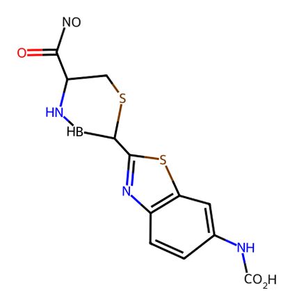 O=NC(=O)C1CSC(c2nc3ccc(NC(=O)O)cc3s2)BN1